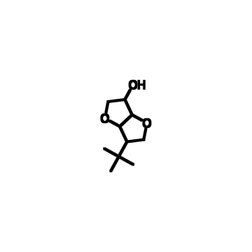 CC(C)(C)C1COC2C(O)COC21